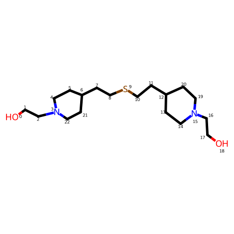 OCCN1CCC(CCSCCC2CCN(CCO)CC2)CC1